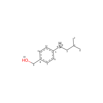 CC(C)C[SiH2]c1ccc(CO)cc1